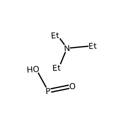 CCN(CC)CC.O=PO